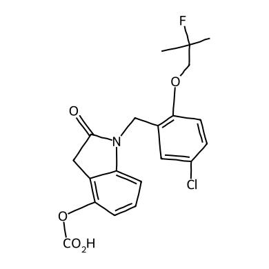 CC(C)(F)COc1ccc(Cl)cc1CN1C(=O)Cc2c(OC(=O)O)cccc21